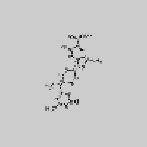 COC(=O)c1cc2c(C)nn(C3CCN(C(C)c4cc(C)cc(Cl)c4)CC3)c2cc1F